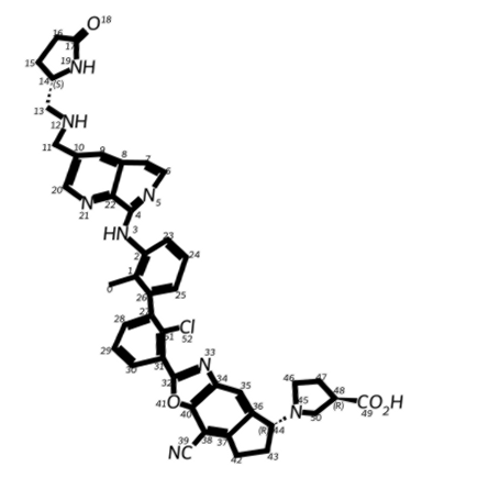 Cc1c(Nc2nccc3cc(CNC[C@@H]4CCC(=O)N4)cnc23)cccc1-c1cccc(-c2nc3cc4c(c(C#N)c3o2)CC[C@H]4N2CC[C@@H](C(=O)O)C2)c1Cl